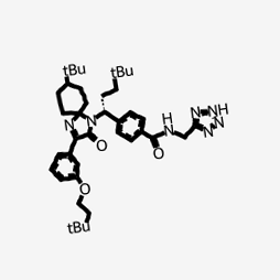 CC(C)(C)CCOc1cccc(C2=NC3(CCC(C(C)(C)C)CC3)N([C@H](CCC(C)(C)C)c3ccc(C(=O)NCc4nn[nH]n4)cc3)C2=O)c1